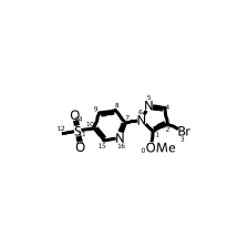 COc1c(Br)cnn1-c1ccc(S(C)(=O)=O)cn1